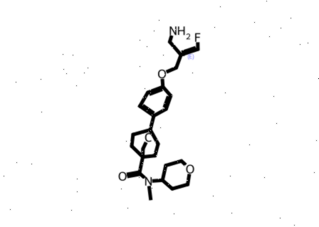 CN(C(=O)C12CCC(c3ccc(OC/C(=C/F)CN)cc3)(CC1)CC2)C1CCOCC1